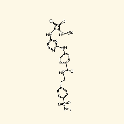 CC(C)(C)Nc1c(Nc2ccnc(Nc3ccc(C(=O)NCCc4ccc(S(N)(=O)=O)cc4)cc3)n2)c(=O)c1=O